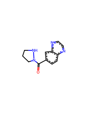 O=C(c1ccc2nccnc2c1)N1CCCN1